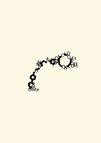 CC[C@H]1OC(=O)[C@H](C)C[C@H](C)[C@@H](O[C@H]2C[C@@H](N(C)CCc3cn(CCOCc4ccc(-c5ccc(OC)nc5)cc4)nn3)C[C@@H](C)O2)[C@](C)(O)CCCN(C)[C@H](C)[C@@H](O)[C@]1(C)O